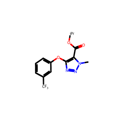 CC(C)OC(=O)c1c(Oc2cccc(C(F)(F)F)c2)nnn1C